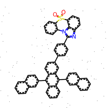 O=S1(=O)c2ccccc2-n2c(-c3ccc(-c4ccc5c(-c6ccc7ccccc7c6)c6ccccc6c(-c6ccc7ccccc7c6)c5c4)cc3)nc3cccc1c32